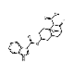 O=C(OC1CC2CC3CC(C1)N2C(C(=O)O)C3=O)c1c[nH]c2ccccc12